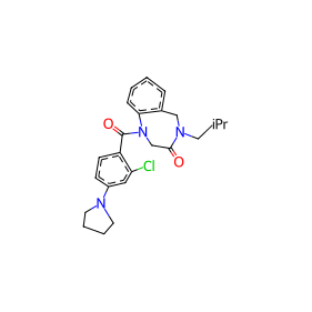 CC(C)CN1Cc2ccccc2N(C(=O)c2ccc(N3CCCC3)cc2Cl)CC1=O